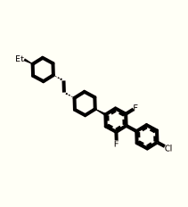 CC[C@H]1CC[C@H](CC[C@H]2CC[C@H](c3cc(F)c(-c4ccc(Cl)cc4)c(F)c3)CC2)CC1